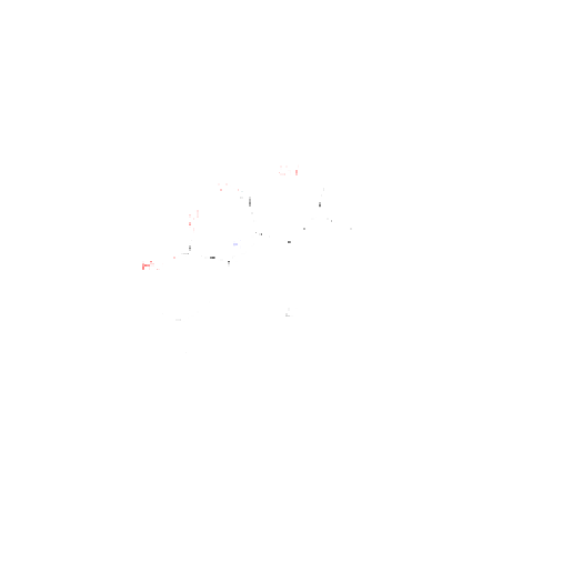 CC(C)C/C(C(=O)O)=C(\CC(C)C)C(=O)O.[Zn]